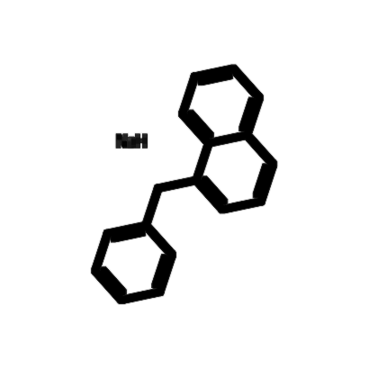 [NaH].c1ccc(Cc2cccc3ccccc23)cc1